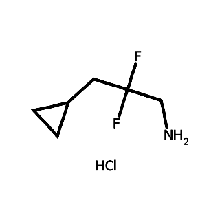 Cl.NCC(F)(F)CC1CC1